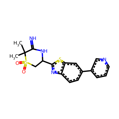 CC1(C)C(=N)NC(c2nc3ccc(-c4cccnc4)cc3s2)CS1(=O)=O